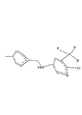 Cc1ccc(CNc2cnc(Cl)c(C(F)(F)F)c2)cc1